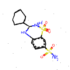 NS(=O)(=O)c1ccc2c(c1)S(=O)(=O)NC(C1CCCCC1)N2